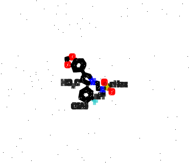 CCCCCCS(=O)(=O)N(CCC)CCN1C[C@H](c2ccc3c(c2)OCO3)[C@H](C(=O)O)[C@H]1c1ccc(OC)c(F)c1